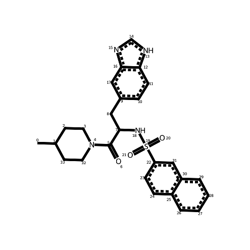 CC1CCN(C(=O)C(Cc2ccc3[nH]cnc3c2)NS(=O)(=O)c2ccc3ccccc3c2)CC1